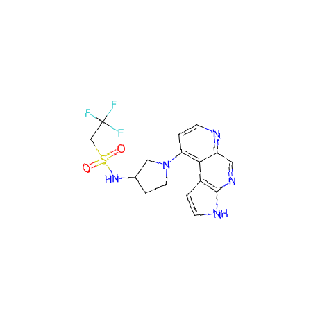 O=S(=O)(CC(F)(F)F)NC1CCN(c2ccnc3cnc4[nH]ccc4c23)C1